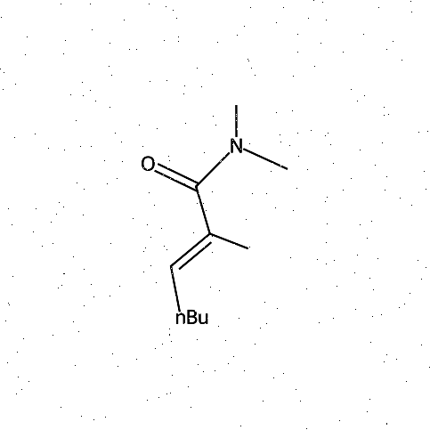 CCCC/C=C(\C)C(=O)N(C)C